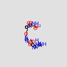 COC(=O)CC[C@@H](C(N)=O)N1Cc2c(CCCOCCN3CCN(CCOc4cc5ncnc(Nc6n[nH]c(C)c6C)c5cc4S(=O)(=O)C(C)(C)C)CC3)cccc2C1=O